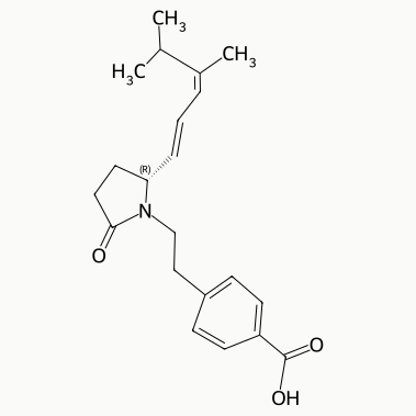 CC(=CC=C[C@H]1CCC(=O)N1CCc1ccc(C(=O)O)cc1)C(C)C